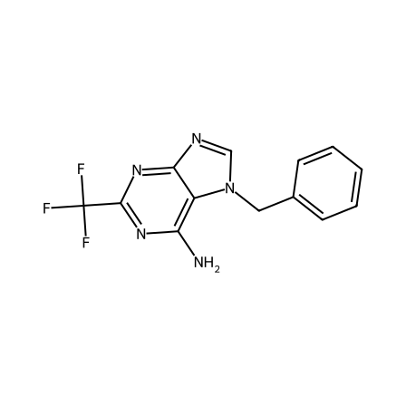 Nc1nc(C(F)(F)F)nc2ncn(Cc3ccccc3)c12